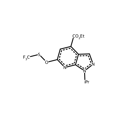 CCOC(=O)c1cc(OSC(F)(F)F)nc2c1cnn2C(C)C